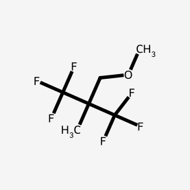 COCC(C)(C(F)(F)F)C(F)(F)F